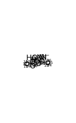 [N-]=[N+]=N[C@H]1C(O)[C@H]2OC(c3ccccc3)OCC2O[C@H]1OCc1ccccc1